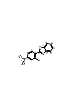 Cc1cc([N+](=O)[O-])ccc1-c1nc2ccccc2o1